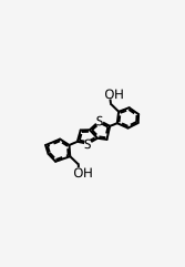 OCc1ccccc1-c1cc2sc(-c3ccccc3CO)cc2s1